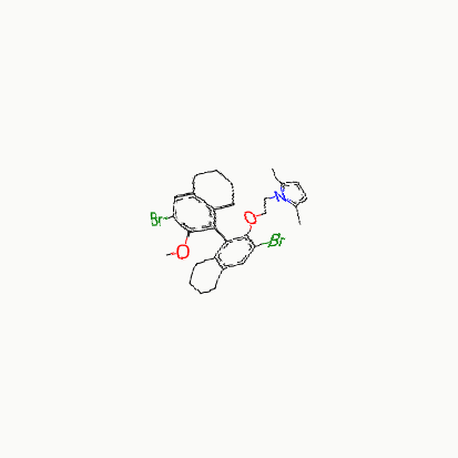 COc1c(Br)cc2c(c1-c1c3c(cc(Br)c1OCCn1c(C)ccc1C)CCCC3)CCCC2